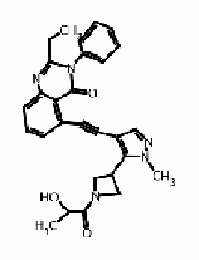 CCc1nc2cccc(C#Cc3cnn(C)c3C3CN(C(=O)C(C)O)C3)c2c(=O)n1-c1ccccc1